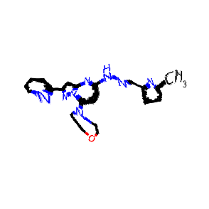 Cc1cccc(/C=N/Nc2cc(N3CCOCC3)n3nc(-c4ccccn4)cc3n2)n1